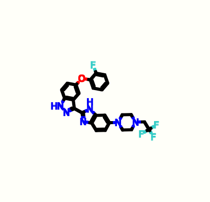 Fc1ccccc1Oc1ccc2[nH]nc(-c3nc4ccc(N5CCN(CC(F)(F)F)CC5)cc4[nH]3)c2c1